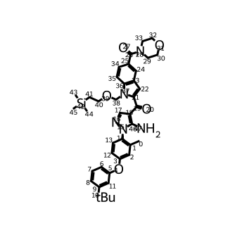 Cc1cc(Oc2cccc(C(C)(C)C)c2)ccc1-n1ncc(C(=O)c2cc3cc(C(=O)N4CCOCC4)ccc3n2COCC[Si](C)(C)C)c1N